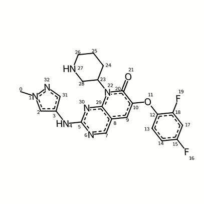 Cn1cc(Nc2ncc3cc(Oc4ccc(F)cc4F)c(=O)n(C4CCCNC4)c3n2)cn1